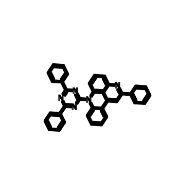 c1ccc(-c2cc3c4c(cccc4n2)N(c2nc(-c4ccccc4)nc(-c4ccccc4)n2)c2ccccc2-3)cc1